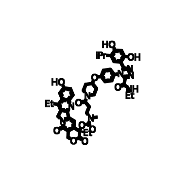 CCNC(=O)c1nnc(-c2cc(C(C)C)c(O)cc2O)n1-c1ccc(OC2CCN(C(=O)CCN(C)C(=O)O[C@]3(CC)C(=O)OCc4c3cc3n(c4=O)Cc4c-3nc3ccc(O)cc3c4CC)CC2)cc1